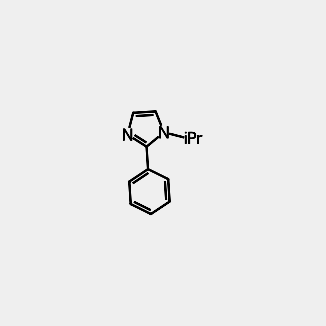 CC(C)n1ccnc1-c1ccccc1